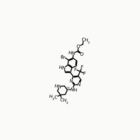 CCOC(=O)Nc1ccc2c(-c3nc(N[C@@H]4CNCC(C)(C)C4)ncc3C(F)(F)F)c[nH]c2c1Br